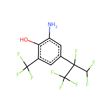 Nc1cc(C(F)(C(F)F)C(F)(F)F)cc(C(F)(F)F)c1O